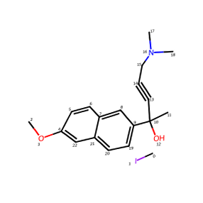 CI.COc1ccc2cc(C(C)(O)C#CCN(C)C)ccc2c1